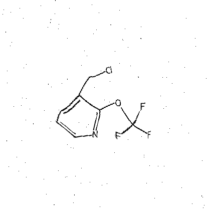 FC(F)(F)Oc1ncccc1CCl